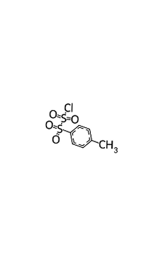 Cc1ccc(S(=O)(=O)S(=O)(=O)Cl)cc1